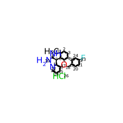 Cc1ccccc1C(C(=N)N)c1ncccc1OCc1ccc(F)cc1.Cl